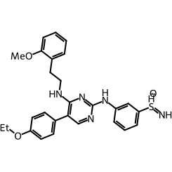 CCOc1ccc(-c2cnc(Nc3cccc([SH](=N)=O)c3)nc2NCCc2ccccc2OC)cc1